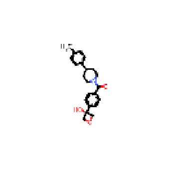 Cc1ccc(C2CCN(C(=O)c3ccc(C4(O)COC4)cc3)CC2)cc1